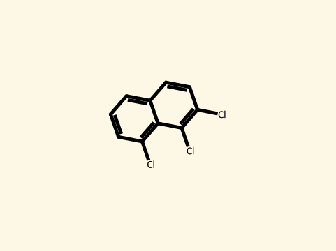 Clc1ccc2cccc(Cl)c2c1Cl